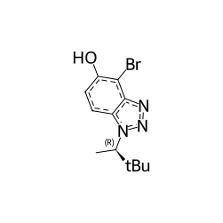 C[C@@H](n1nnc2c(Br)c(O)ccc21)C(C)(C)C